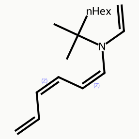 C=C/C=C\C=C/N(C=C)C(C)(C)CCCCCC